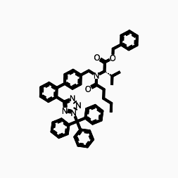 CCCCC(=O)N(Cc1ccc(-c2ccccc2-c2nnn(C(c3ccccc3)(c3ccccc3)c3ccccc3)n2)cc1)[C@H](C(=O)OCc1ccccc1)C(C)C